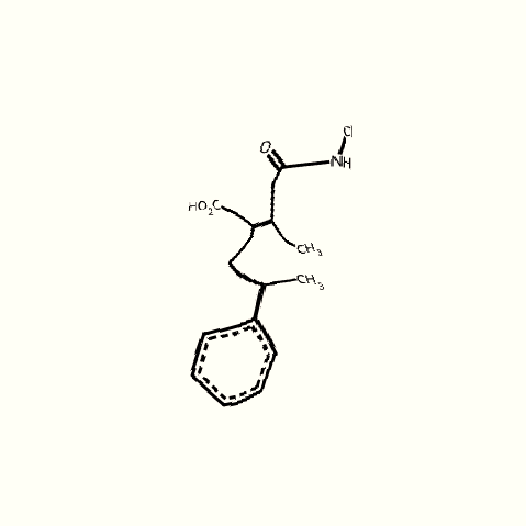 CC(CC(C(=O)O)C(C)C(=O)NCl)c1ccccc1